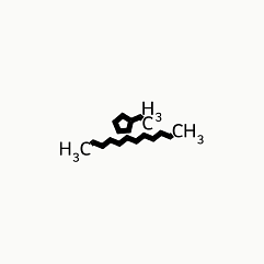 CCC1CCCC1.CCCCCCCCCCCC